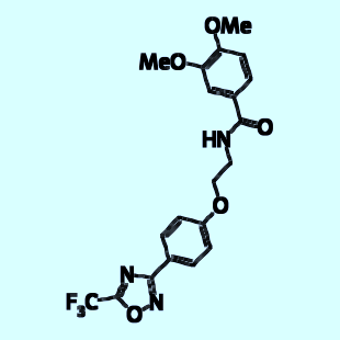 COc1ccc(C(=O)NCCOc2ccc(-c3noc(C(F)(F)F)n3)cc2)cc1OC